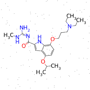 CCN(CC)CCCOc1ccc(OC(C)C)c2cc(C(=O)N=C(N)NC)[nH]c12